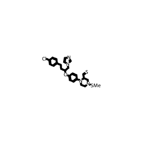 CSN1CCN(c2ccc(OC(CCc3ccc(Cl)cc3)Cn3ccnc3)cc2)C(C=S)C1